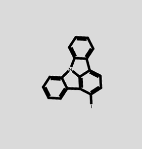 Ic1ccc2c3ccccc3n3c4ccccc4c1c23